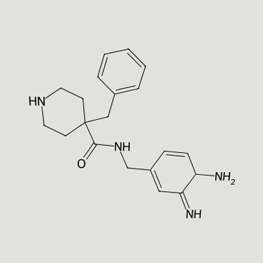 N=C1C=C(CNC(=O)C2(Cc3ccccc3)CCNCC2)C=CC1N